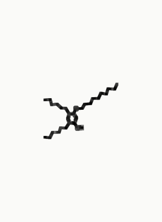 CCCCCCCCCCOc1cc(O)c(CCCCCC)cc1CCCCCC